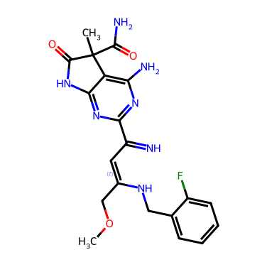 COC/C(=C/C(=N)c1nc(N)c2c(n1)NC(=O)C2(C)C(N)=O)NCc1ccccc1F